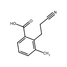 Cc1cccc(C(=O)O)c1CCC#N